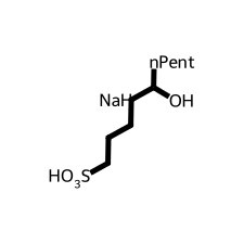 CCCCCC(O)CCCCS(=O)(=O)O.[NaH]